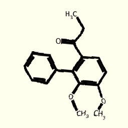 CCC(=O)c1ccc(OC)c(OC)c1-c1ccccc1